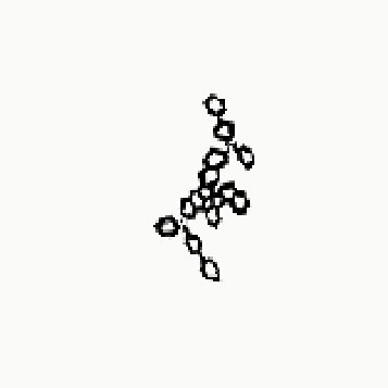 c1ccc(N(c2ccc(C3CCCCC3)cc2)c2ccc3cc4c(cc3c2)C2(c3cc5cc(N(c6ccccc6)c6ccc(C7CCCCC7)cc6)ccc5cc3-4)c3ccccc3-c3c2ccc2ccccc32)cc1